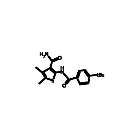 Cc1sc(NC(=O)c2ccc(C(C)(C)C)cc2)c(C(N)=O)c1C